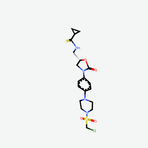 O=C1O[C@@H](CNC(=S)C2CC2)CN1c1ccc(N2CCN(S(=O)(=O)CCl)CC2)cc1